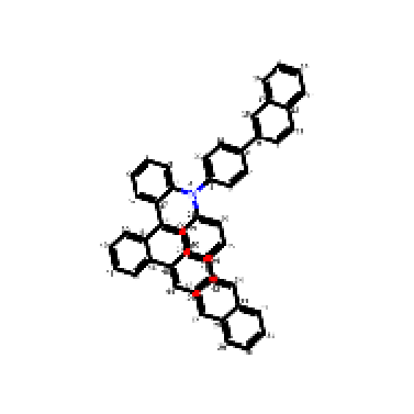 c1ccc(N(c2ccc(-c3ccc4ccccc4c3)cc2)c2ccc(-c3ccc4ccccc4c3)cc2)c(-c2cc3ccccc3c3ccccc23)c1